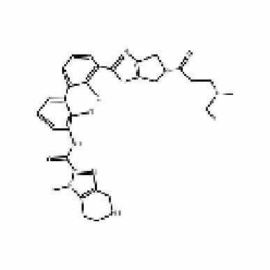 CCN(C)CCC(=O)N1Cc2nc(-c3cccc(-c4cccc(NC(=O)c5nc6c(n5C)CCNC6)c4Cl)c3Cl)oc2C1